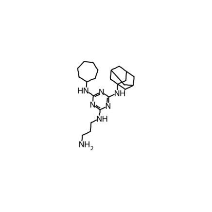 NCCCNc1nc(NC2CCCCCC2)nc(NC23CC4CC(CC(C4)C2)C3)n1